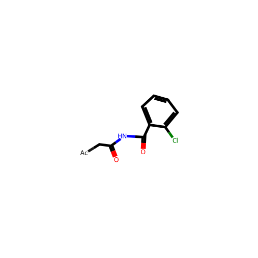 CC(=O)CC(=O)NC(=O)c1ccccc1Cl